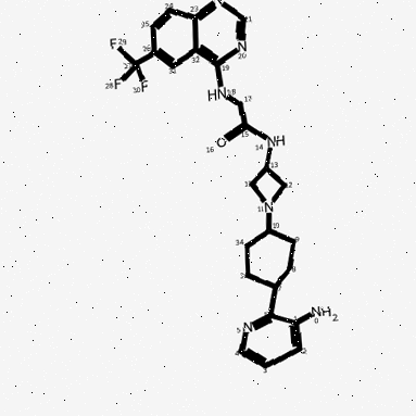 Nc1cccnc1C1CCC(N2CC(NC(=O)CNc3ncnc4ccc(C(F)(F)F)cc34)C2)CC1